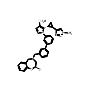 CC[C@@H]1CN(Cc2cccc(-c3cccc(-n4ncc(C(=O)O)c4[C@@H]4CC4c4cn(C)nn4)c3)c2)Cc2ccccc2O1